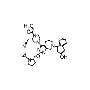 C=CC(=O)N1CCN(c2nc(OC[C@H]3CCCN3C3CC3)nc3c2CCCN(c2cc(O)cc4ccccc24)C3)C[C@@H]1CC#N